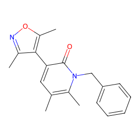 Cc1cc(-c2c(C)noc2C)c(=O)n(Cc2ccccc2)c1C